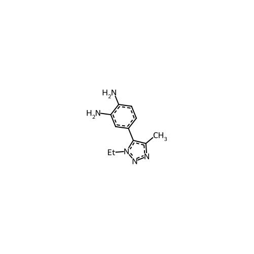 CCn1nnc(C)c1-c1ccc(N)c(N)c1